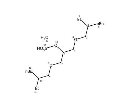 CCCCC(CC)COCC(COCC(CC)CCCC)OS(=O)(=O)O.O